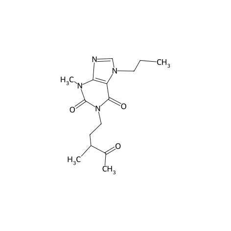 CCCn1cnc2c1c(=O)n(CCC(C)C(C)=O)c(=O)n2C